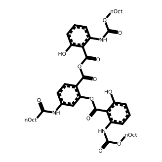 CCCCCCCCOC(=O)Nc1cccc(O)c1C(=O)OC(=O)c1ccc(NC(=O)CCCCCCCC)cc1OC(=O)c1c(O)cccc1NC(=O)OCCCCCCCC